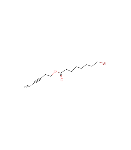 CCCC#CCCOC(=O)CCCCCCCBr